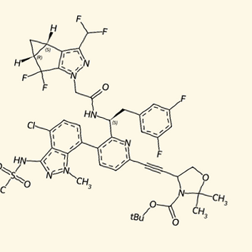 Cn1nc(NS(C)(=O)=O)c2c(Cl)ccc(-c3ccc(C#CC4COC(C)(C)N4C(=O)OC(C)(C)C)nc3[C@H](Cc3cc(F)cc(F)c3)NC(=O)Cn3nc(C(F)F)c4c3C(F)(F)[C@@H]3C[C@H]43)c21